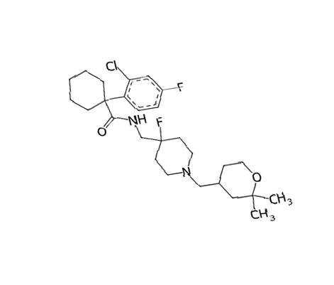 CC1(C)CC(CN2CCC(F)(CNC(=O)C3(c4ccc(F)cc4Cl)CCCCC3)CC2)CCO1